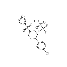 C[n+]1ccn(S(=O)(=O)N2CCC(c3ccc(Cl)cc3)CC2)c1.O=S(=O)(O)C(F)(F)F